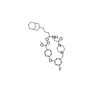 COC(=O)c1ccc(Oc2cc(F)cc(CN3CCN(C(=O)CNC(=O)CCCC4CC5CCCC(C4)C5)CC3)c2)cc1